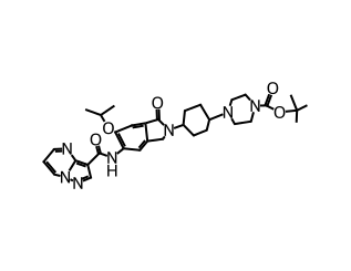 CC(C)Oc1cc2c(cc1NC(=O)c1cnn3cccnc13)CN(C1CCC(N3CCN(C(=O)OC(C)(C)C)CC3)CC1)C2=O